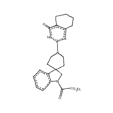 CCOC(=O)C(=O)N1CC2(CCN(c3nc4c(c(=O)[nH]3)CCCC4)CC2)c2ccccc21